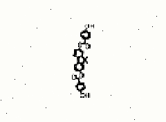 CC1(C)c2cc(OC(=O)c3ccc(O)cc3)ccc2-c2ccc(OC(=O)c3ccc(O)cc3)cc21